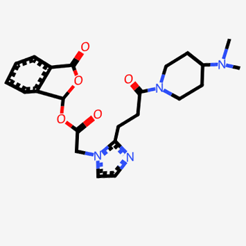 CN(C)C1CCN(C(=O)CCc2nccn2CC(=O)OC2OC(=O)c3ccccc32)CC1